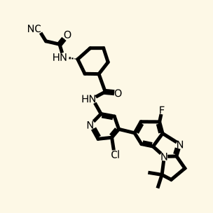 CC1(C)CCc2nc3c(F)cc(-c4cc(NC(=O)C5CCC[C@@H](NC(=O)CC#N)C5)ncc4Cl)cc3n21